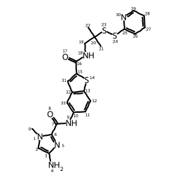 Cn1cc(N)nc1C(=O)Nc1ccc2sc(C(=O)NCC(C)(C)SSc3ccccn3)cc2c1